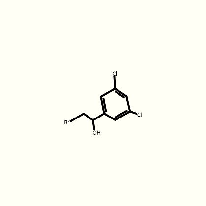 OC(CBr)c1cc(Cl)cc(Cl)c1